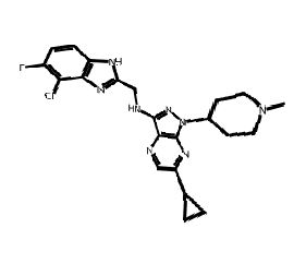 CN1CCC(n2nc(NCc3nc4c(Cl)c(F)ccc4[nH]3)c3ncc(C4CC4)nc32)CC1